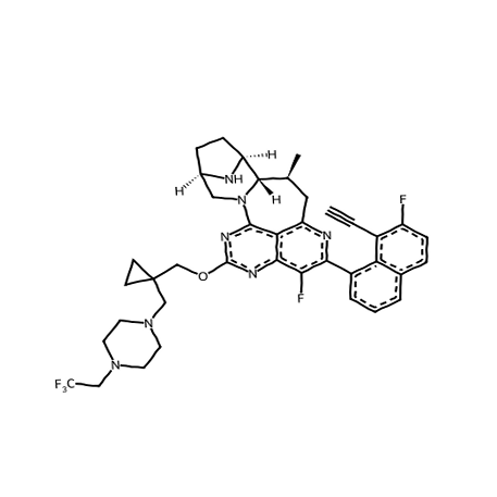 C#Cc1c(F)ccc2cccc(-c3nc4c5c(nc(OCC6(CN7CCN(CC(F)(F)F)CC7)CC6)nc5c3F)N3C[C@H]5CC[C@H](N5)[C@@H]3[C@@H](C)C4)c12